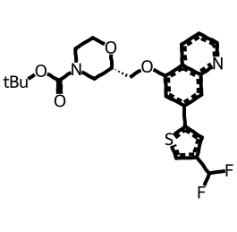 CC(C)(C)OC(=O)N1CCO[C@H](COc2cc(-c3cc(C(F)F)cs3)cc3ncccc23)C1